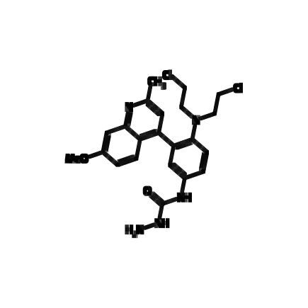 COc1ccc2c(-c3cc(NC(=O)NN)ccc3N(CCCl)CCCl)cc(C)nc2c1